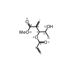 C=CC(=O)OC(C(=C)C(=O)OC)C(C)O